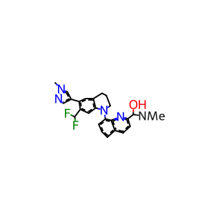 CNC(O)c1ccc2cccc(N3CCCc4cc(-c5cnn(C)c5)c(C(F)F)cc43)c2n1